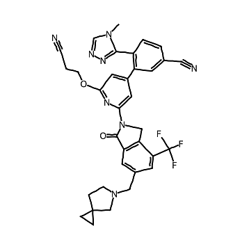 Cn1cnnc1-c1ccc(C#N)cc1-c1cc(OCCC#N)nc(N2Cc3c(cc(CN4CCC5(CC5)C4)cc3C(F)(F)F)C2=O)c1